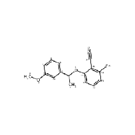 COc1cccc(C(C)Oc2cccc(F)c2C#N)c1